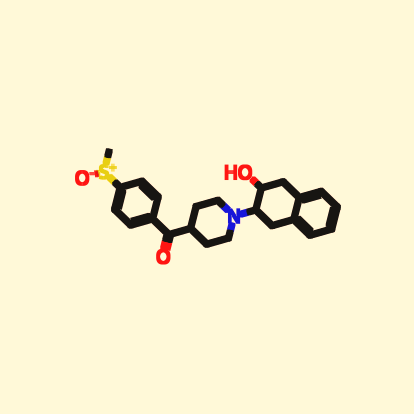 C[S+]([O-])c1ccc(C(=O)C2CCN(C3Cc4ccccc4CC3O)CC2)cc1